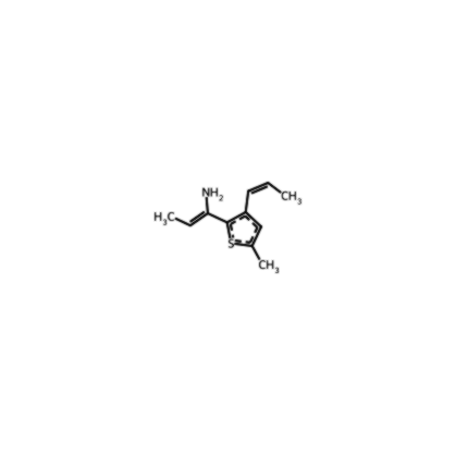 CC=C(N)c1sc(C)cc1/C=C\C